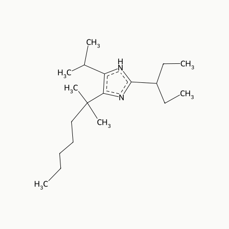 CCCCCC(C)(C)c1nc(C(CC)CC)[nH]c1C(C)C